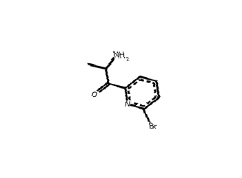 CC(N)C(=O)c1cccc(Br)n1